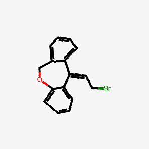 BrC/C=C1/c2ccccc2COc2ccccc21